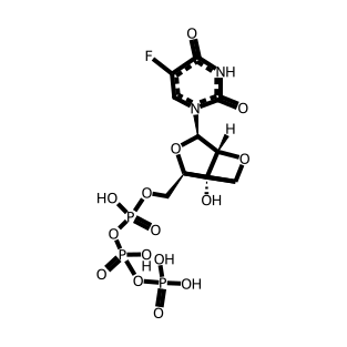 O=c1[nH]c(=O)n([C@@H]2O[C@@]3(COP(=O)(O)OP(=O)(O)OP(=O)(O)O)C4O[C@@H]2[C@@]43O)cc1F